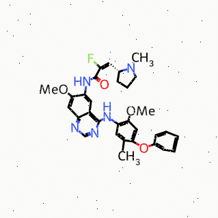 COc1cc2ncnc(Nc3cc(C)c(Oc4ccccc4)cc3OC)c2cc1NC(=O)/C(F)=C\[C@H]1CCCN1C